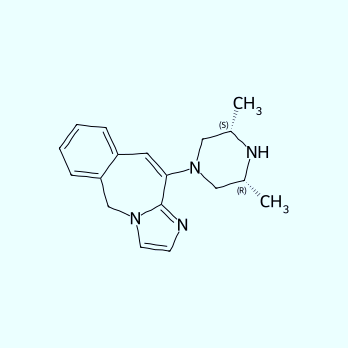 C[C@@H]1CN(C2=Cc3ccccc3Cn3ccnc32)C[C@H](C)N1